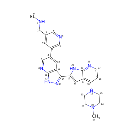 CCNCc1cncc(-c2cnc3[nH]nc(-c4cc5c(N6CCN(C)CC6)ccnc5[nH]4)c3c2)c1